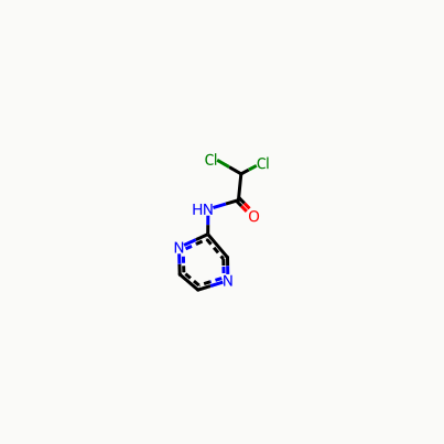 O=C(Nc1cnccn1)C(Cl)Cl